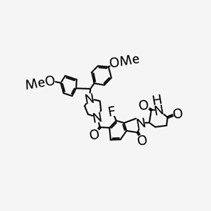 COc1ccc(C(c2ccc(OC)cc2)N2CCN(C(=O)c3ccc4c(c3F)CN(C3CCC(=O)NC3=O)C4=O)CC2)cc1